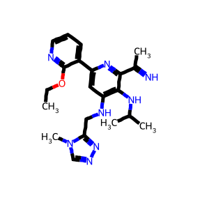 CCOc1ncccc1-c1cc(NCc2nncn2C)c(NC(C)C)c(C(C)=N)n1